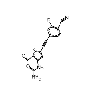 N#Cc1ccc(C#Cc2cc(NC(N)=O)c(C=O)s2)cc1F